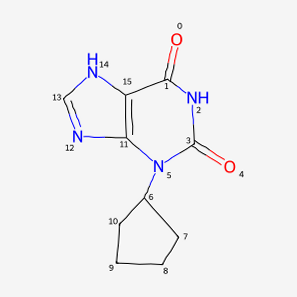 O=c1[nH]c(=O)n(C2CCCC2)c2nc[nH]c12